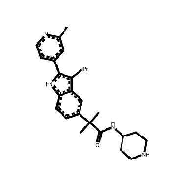 Cc1cc(-c2[nH]c3ccc(C(C)(C)C(=O)NC4CCNCC4)cc3c2C(C)C)ccn1